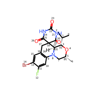 CC(C)[C@@H]1O[C@H](C)CN2c3cc(F)c(Br)cc3CC3(C(=O)NC(=O)NC3=O)[C@@H]12